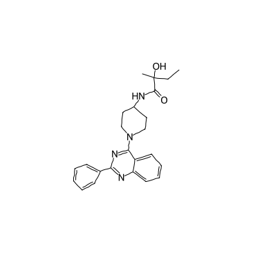 CCC(C)(O)C(=O)NC1CCN(c2nc(-c3ccccc3)nc3ccccc23)CC1